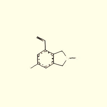 C=Cc1cc(Cl)cc2c1CN(CC)C2